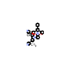 Cc1cnccc1-c1ccc2c(c1)c1cc(-c3ccncc3C)ccc1n2-c1cccc2c1C(=O)N(c1c(-c3ccccc3)cc(-c3ccccc3)cc1-c1ccccc1)C2=O